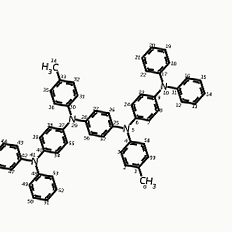 Cc1ccc(N(c2ccc(N(c3ccccc3)c3ccccc3)cc2)c2ccc(N(c3ccc(C)cc3)c3ccc(N(c4ccccc4)c4ccccc4)cc3)cc2)cc1